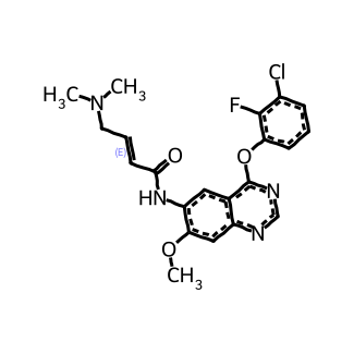 COc1cc2ncnc(Oc3cccc(Cl)c3F)c2cc1NC(=O)/C=C/CN(C)C